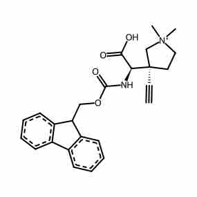 C#C[C@@]1([C@@H](NC(=O)OCC2c3ccccc3-c3ccccc32)C(=O)O)CC[N+](C)(C)C1